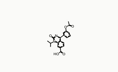 CC(=O)Oc1cccc(-c2nc(=O)n(C(C)C)c3cc(C(=O)O)ccc23)c1